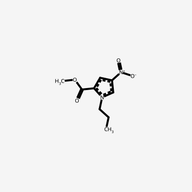 CCCn1cc([N+](=O)[O-])cc1C(=O)OC